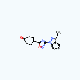 CCc1nn(-c2noc(C3CCC(=O)CC3)n2)c2ccccc12